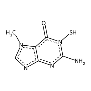 Cn1cnc2nc(N)n(S)c(=O)c21